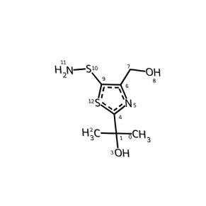 CC(C)(O)c1nc(CO)c(SN)s1